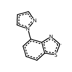 [c]1nc2c(-n3cccn3)cccc2s1